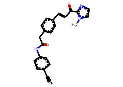 C#Cc1ccc(NC(=O)Cc2ccc(C=CC(=O)c3nccn3C)cc2)cc1